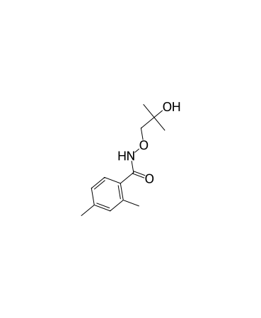 Cc1ccc(C(=O)NOCC(C)(C)O)c(C)c1